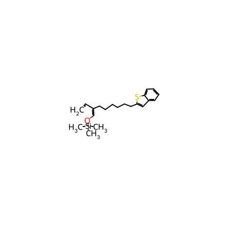 C=CC(=CO[Si](C)(C)C)CCCCCCc1cc2ccccc2s1